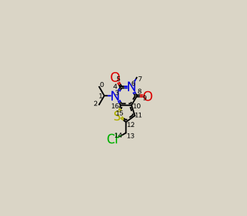 CC(C)n1c(=O)n(C)c(=O)c2cc(CCl)sc21